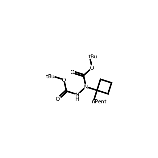 CCCCCC1(N(NC(=O)OC(C)(C)C)C(=O)OC(C)(C)C)CCC1